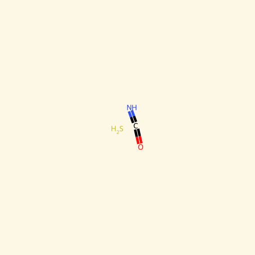 N=C=O.S